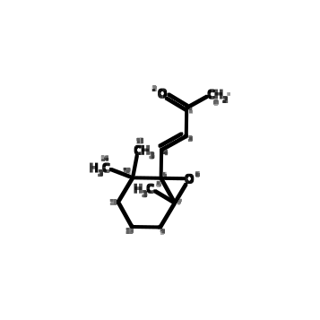 [CH2]C(=O)C=CC12OC1(C)CCCC2(C)C